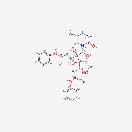 CC1CNC(=O)N([C@@H]2O[C@H](CO)[C@](O)(CCC(=O)Oc3ccccc3)[C@]2(O)CCC(=O)Oc2ccccc2)C1